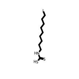 S=C(S)NCCCCCCCCCI